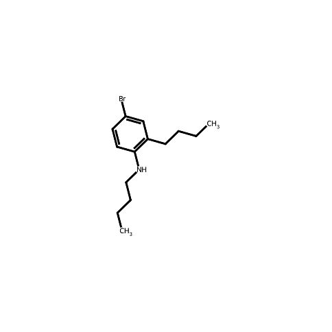 CCCCNc1ccc(Br)cc1CCCC